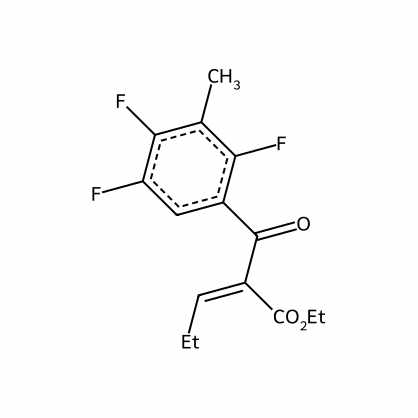 CCC=C(C(=O)OCC)C(=O)c1cc(F)c(F)c(C)c1F